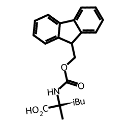 CC[C@H](C)C(C)(NC(=O)OCC1c2ccccc2-c2ccccc21)C(=O)O